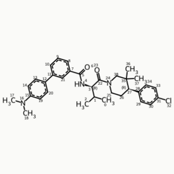 CC(C)[C@@H](NC(=O)c1cccc(-c2ccc(N(C)C)cc2)c1)C(=O)N1CC[C@H](c2ccc(Cl)cc2)C(C)(C)C1